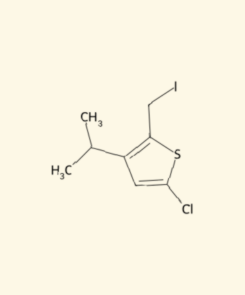 CC(C)c1cc(Cl)sc1CI